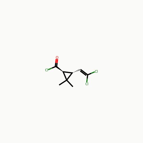 CC1(C)[C@@H](C=C(Cl)Cl)[C@@H]1C(=O)Cl